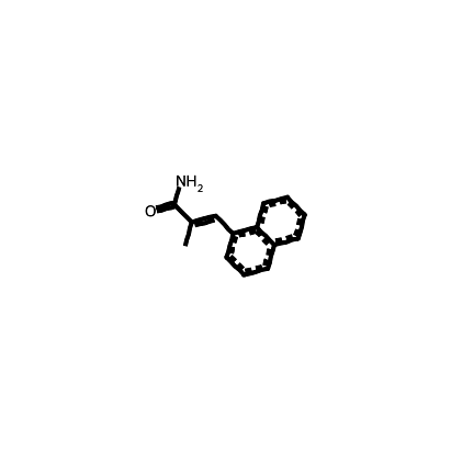 C/C(=C\c1cccc2ccccc12)C(N)=O